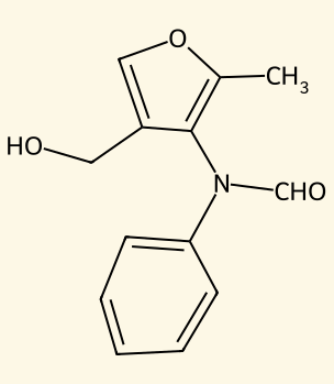 Cc1occ(CO)c1N(C=O)c1ccccc1